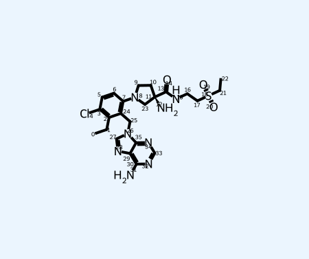 CCc1c(Cl)ccc(N2CC[C@](N)(C(=O)NCCS(=O)(=O)CC)C2)c1Cn1cnc2c(N)ncnc21